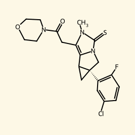 Cn1c(CC(=O)N2CCOCC2)c2n(c1=S)C[C@@]1(c3cc(Cl)ccc3F)CC21